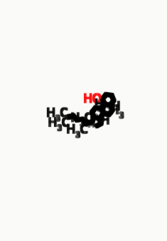 CC(C)=CCC[C@@H](C)[C@H]1CC[C@H]2C3=CC[C@H]4CCCC(O)[C@]4(C)[C@H]3CC[C@]12C